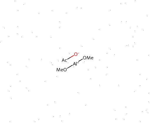 CC(=O)[O-].C[O][Al+][O]C